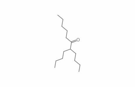 CCCCCC(=O)C(CCCC)CCCC